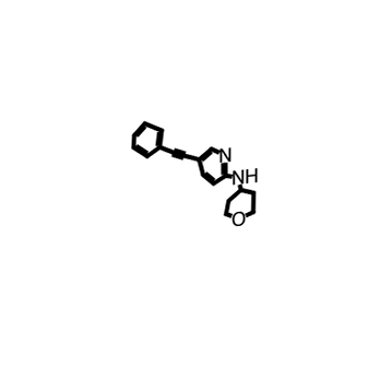 C(#Cc1ccc(NC2CCOCC2)nc1)c1ccccc1